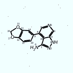 Nc1n[nH]c2cncc(-c3ccc4c(c3)OCO4)c12